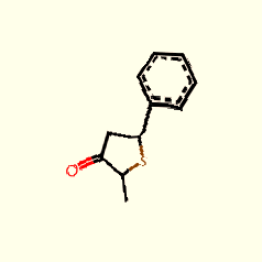 CC1SC(c2ccccc2)CC1=O